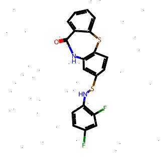 O=C1Nc2cc(SNc3ccc(F)cc3F)ccc2Sc2ccccc21